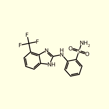 NS(=O)(=O)c1ccccc1Nc1nc2c(C(F)(F)F)cccc2[nH]1